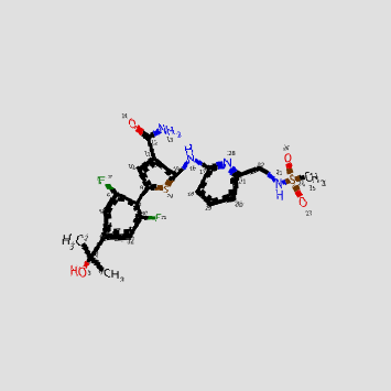 CC(C)(O)c1cc(F)c(-c2cc(C(N)=O)c(Nc3cccc(CNS(C)(=O)=O)n3)s2)c(F)c1